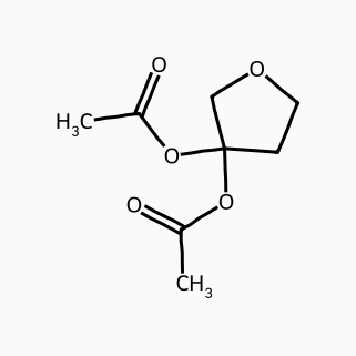 CC(=O)OC1(OC(C)=O)CCOC1